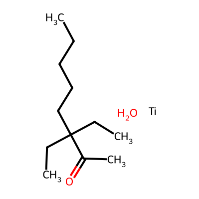 CCCCCC(CC)(CC)C(C)=O.O.[Ti]